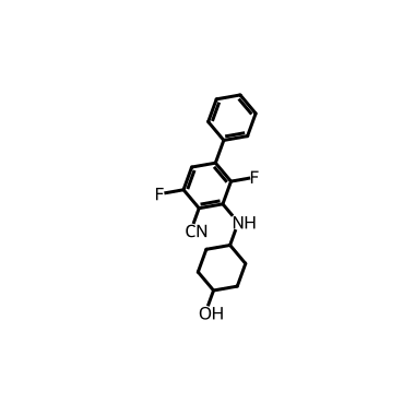 N#Cc1c(F)cc(-c2ccccc2)c(F)c1NC1CCC(O)CC1